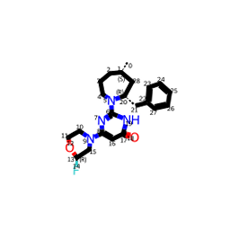 C[C@H]1CCCN(c2nc(N3CCO[C@H](F)C3)cc(=O)[nH]2)[C@@H](Cc2ccccc2)C1